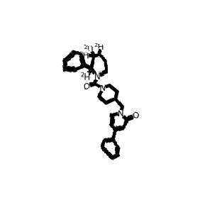 [2H]C1CCN(C(=O)N2CCC(Cn3ccc(-c4ccccc4)cc3=O)CC2)C([2H])(c2ccccc2)C1([2H])[2H]